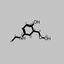 CCNC1=CC=C(O)C(COO)C1